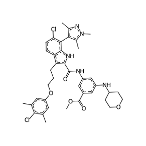 COC(=O)c1cc(NC(=O)c2[nH]c3c(-c4c(C)nn(C)c4C)c(Cl)ccc3c2CCCOc2cc(C)c(Cl)c(C)c2)cc(NC2CCOCC2)c1